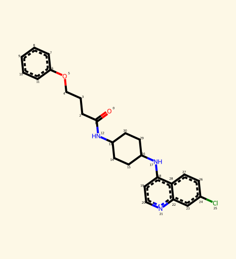 O=C(CCCOc1ccccc1)NC1CCC(Nc2ccnc3cc(Cl)ccc23)CC1